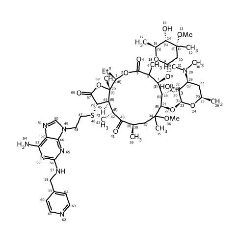 CC[C@H]1OC(=O)C(C)[C@@H](O[C@H]2C[C@@](C)(OC)[C@@H](O)[C@H](C)O2)[C@H](C)[C@@H](O[C@@H]2O[C@H](C)C[C@H](N(C)C)[C@H]2O)C(C)(OC)C[C@@H](C)C(=O)[C@H](C)[C@H]2[C@H](SCCn3cnc4c(N)nc(NCc5ccncc5)nc43)C(=O)O[C@@]21C